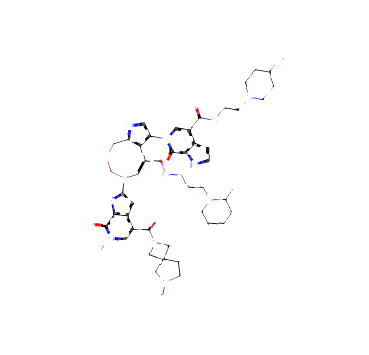 CC1CCCCN1CCCNC(=O)/C1=C/N(c2cc3c(C(=O)N4CC5(CCN(C)C5)C4)cn(C)c(=O)c3[nH]2)COCc2[nH]cc(-n3cc(C(=O)NCCN4CCC(O)CC4)c4cc[nH]c4c3=O)c21